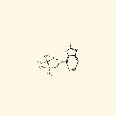 CC1(C)OB(c2cccc3cc(F)oc23)OC1(C)C